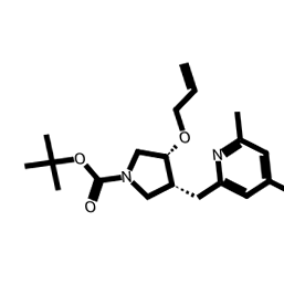 C=CCO[C@H]1CN(C(=O)OC(C)(C)C)C[C@H]1Cc1cc(C)cc(C)n1